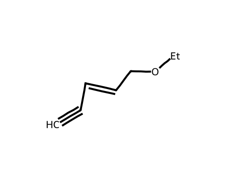 C#CC=CCOC[CH2]